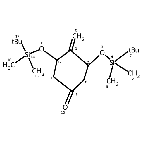 C=C1C(O[Si](C)(C)C(C)(C)C)CC(=O)CC1O[Si](C)(C)C(C)(C)C